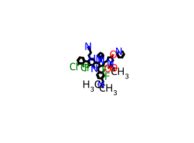 COC(=O)N1CC(Oc2ccccn2)CC1c1cc2c(-c3ccc(CN(C)C)c(F)c3F)nc3c(F)c(-c4cccc(Cl)c4Cl)c(CCC#N)cc3c2n1C1C2CNC1C2